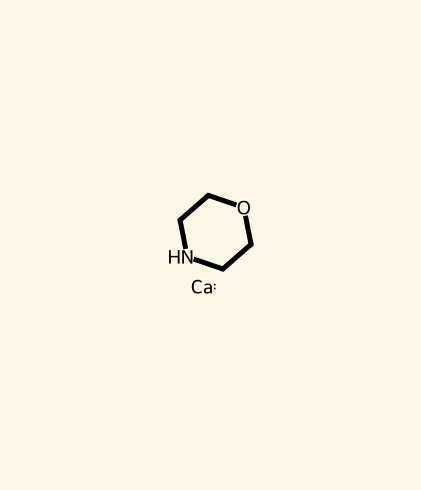 C1COCCN1.[Ca]